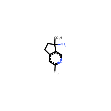 NC1(C(=O)O)CCc2cc(C(F)(F)F)ncc21